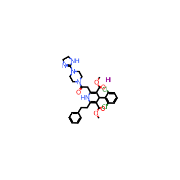 COC(=O)C1=C(CCc2ccccc2)NC(CC(=O)N2CCN(C3=NCCN3)CC2)=C(C(=O)OC)C1c1c(Cl)cccc1Cl.I